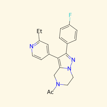 CCc1cc(-c2c(-c3ccc(F)cc3)nn3c2CN(C(C)=O)CC3)ccn1